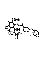 CCN(CC)C(=O)Nc1c(C/C=C(\C)C(CCCN2CCOCC2)CC(=O)O)c(OC)c(C)c2c1C(=O)OC2